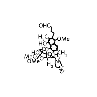 COc1c(CCCC=O)c(C)c(O)c2c(OC3(OCCN4CC[S+]([O-])CC4)C(C)OC(O)(C(OC)OC)C34CO4)c(C)c(C)cc12